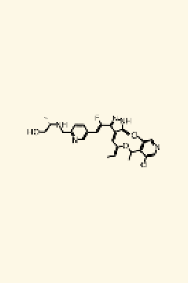 C=c1[nH]nc(/C(F)=C/c2ccc(CN[C@@H](C)CO)nc2)/c1=C/C(=C\C)OC(C)c1c(Cl)cncc1Cl